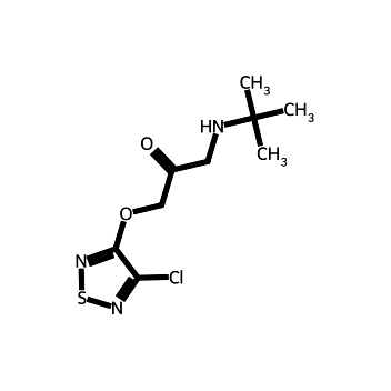 CC(C)(C)NCC(=O)COc1nsnc1Cl